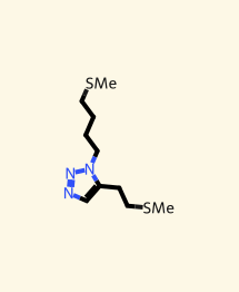 CSCCCCn1nncc1CCSC